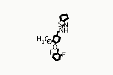 COc1cc(CNc2nc3ccccc3s2)ccc1OCc1c(F)cccc1F